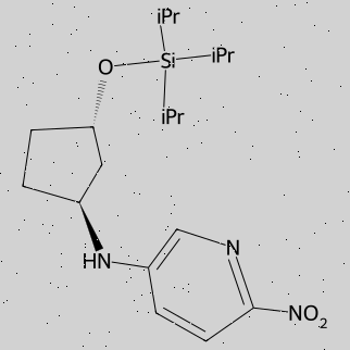 CC(C)[Si](O[C@H]1CC[C@H](Nc2ccc([N+](=O)[O-])nc2)C1)(C(C)C)C(C)C